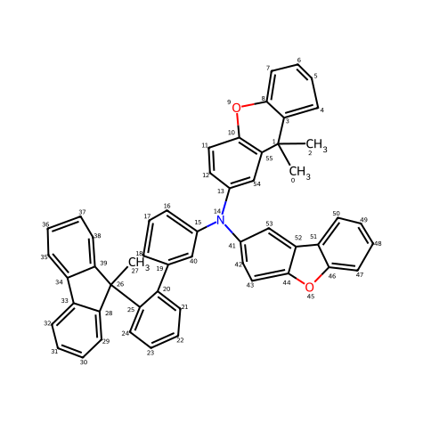 CC1(C)c2ccccc2Oc2ccc(N(c3cccc(-c4ccccc4C4(C)c5ccccc5-c5ccccc54)c3)c3ccc4oc5ccccc5c4c3)cc21